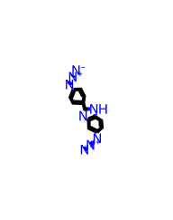 [N-]=[N+]=Nc1ccc(-c2nc3cc(N=[N+]=[N-])ccc3[nH]2)cc1